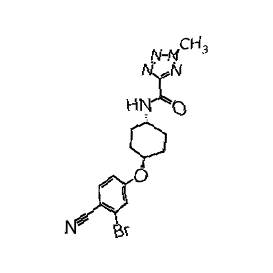 Cn1nnc(C(=O)N[C@H]2CC[C@H](Oc3ccc(C#N)c(Br)c3)CC2)n1